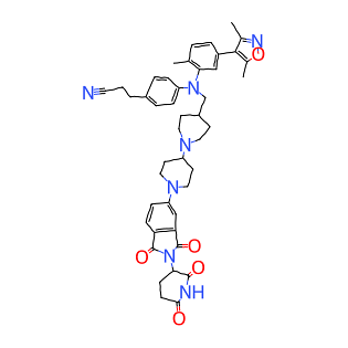 Cc1ccc(-c2c(C)noc2C)cc1N(CC1CCN(C2CCN(c3ccc4c(c3)C(=O)N(C3CCC(=O)NC3=O)C4=O)CC2)CC1)c1ccc(CCC#N)cc1